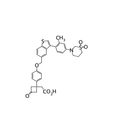 Cc1cc(N2CCCS(=O)(=O)C2)ccc1-c1csc2ccc(COc3ccc(C4(CC(=O)O)CC(=O)C4)cc3)cc12